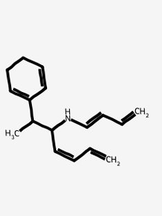 C=C/C=C\C(N/C=C/C=C)C(C)C1=CCCC=C1